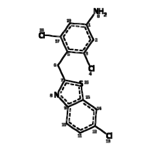 Nc1cc(Cl)c(Cc2nc3ccc(Cl)cc3s2)c(Cl)c1